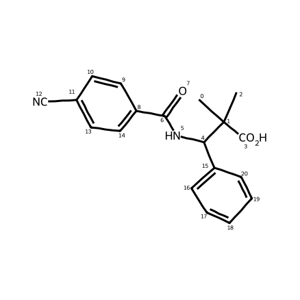 CC(C)(C(=O)O)C(NC(=O)c1ccc(C#N)cc1)c1ccccc1